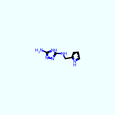 Nc1nnc(NCc2ccc[nH]2)[nH]1